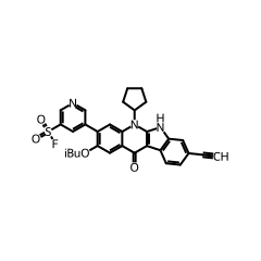 C#Cc1ccc2c(c1)[nH]c1c2c(=O)c2cc(OCC(C)C)c(-c3cncc(S(=O)(=O)F)c3)cc2n1C1CCCC1